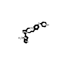 CCc1cnc(-c2cc3sccc3n2C)n1CCCc1ccc(OC2CCNCC2)cc1